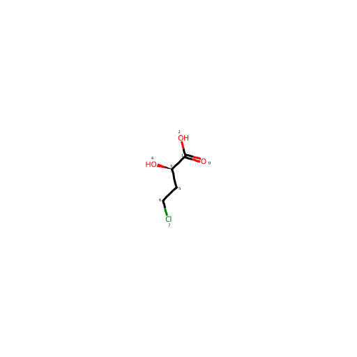 O=C(O)[C@H](O)CCCl